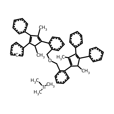 CC1=C(c2ccccc2COCc2ccccc2C2=C(C)C(c3ccccc3)=C(c3ccccc3)C2C)C(C)C(c2ccccc2)=C1c1ccccc1.[CH3][Ti]([CH3])[CH3]